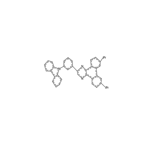 CC(C)c1ccc2c(c1)c1cc(C(C)C)ccc1c1nc(-c3cccc(-n4c5ccccc5c5ccccc54)c3)cnc21